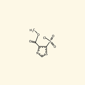 COC(=O)c1ncsc1S(=O)(=O)Cl